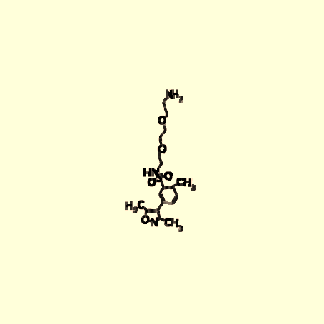 Cc1ccc(-c2c(C)noc2C)cc1S(=O)(=O)NCCOCCOCCN